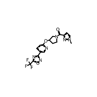 Cn1ccc(C(=O)N2CCC(Oc3ccc(-c4noc(C(F)(F)F)n4)cn3)C2)n1